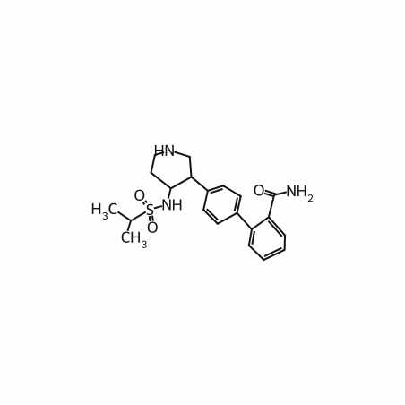 CC(C)S(=O)(=O)NC1CCNCC1c1ccc(-c2ccccc2C(N)=O)cc1